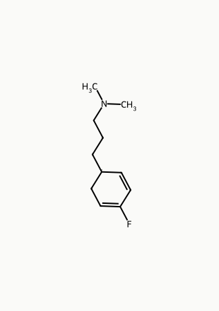 CN(C)CCC[C]1C=CC(F)=CC1